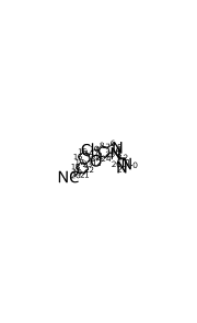 Cn1cc(-n2ncc3cc(Cl)c(OC4CCCc5cc(C#N)ccc54)cc32)cn1